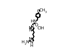 COc1ccc(CNC(=O)Cn2cc(CCCc3c[nH]c(N)n3)nn2)cc1.Cl